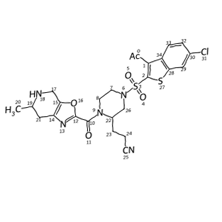 CC(=O)c1c(S(=O)(=O)N2CCN(C(=O)c3nc4c(o3)CNC(C)C4)C(CCC#N)C2)sc2cc(Cl)ccc12